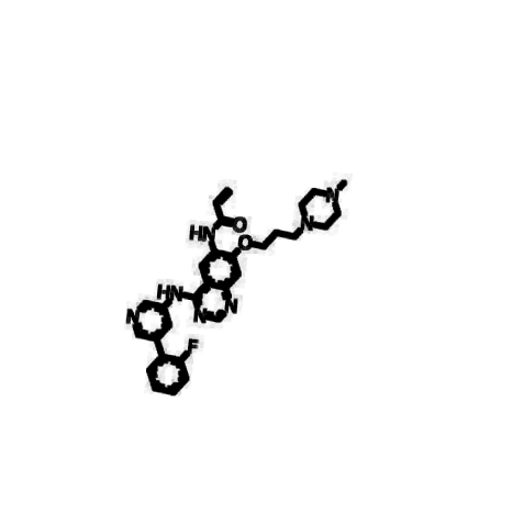 C=CC(=O)Nc1cc2c(Nc3cncc(-c4ccccc4F)c3)ncnc2cc1OCCCN1CCN(C)CC1